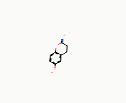 COc1ccc2c(c1)CCC(=NO)O2